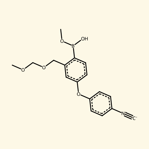 [C-]#[N+]c1ccc(Oc2ccc(B(O)OC)c(COCOC)c2)cc1